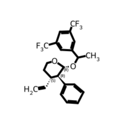 C=C[C@@H]1CCO[C@H](OC(C)c2cc(C(F)(F)F)cc(C(F)(F)F)c2)[C@H]1c1ccccc1